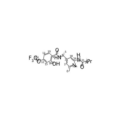 Cc1cc(C(C)NC(=O)c2ccc(OC(F)(F)F)cc2O)cc(NC(=O)C(C)C)n1